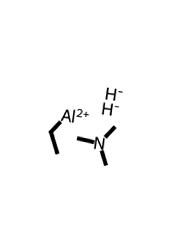 CN(C)C.C[CH2][Al+2].[H-].[H-]